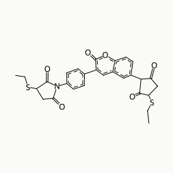 CCSC1CC(=O)C(c2ccc3oc(=O)c(-c4ccc(N5C(=O)CC(SCC)C5=O)cc4)cc3c2)C1=O